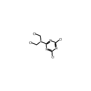 ClCN(CCl)c1nc(Cl)nc(Cl)n1